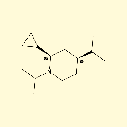 CC(C)[C@H]1CCN(C(C)C)[C@@H](C2CC2)C1